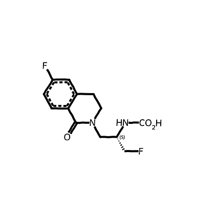 O=C(O)N[C@H](CF)CN1CCc2cc(F)ccc2C1=O